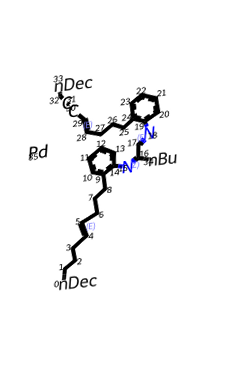 CCCCCCCCCCCCC/C=C/CCCc1ccccc1/N=C(\C=N\c1ccccc1CCC/C=C/CCCCCCCCCCCCC)CCCC.[Pd]